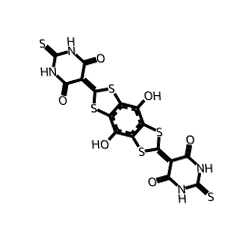 O=C1NC(=S)NC(=O)C1=C1Sc2c(O)c3c(c(O)c2S1)SC(=C1C(=O)NC(=S)NC1=O)S3